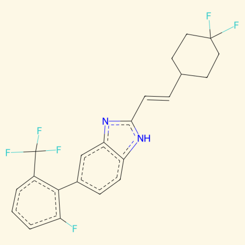 Fc1cccc(C(F)(F)F)c1-c1ccc2[nH]c(C=CC3CCC(F)(F)CC3)nc2c1